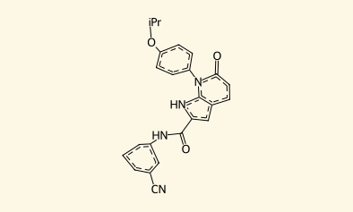 CC(C)Oc1ccc(-n2c(=O)ccc3cc(C(=O)Nc4cccc(C#N)c4)[nH]c32)cc1